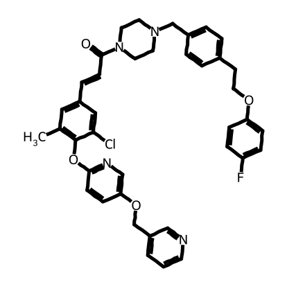 Cc1cc(C=CC(=O)N2CCN(Cc3ccc(CCOc4ccc(F)cc4)cc3)CC2)cc(Cl)c1Oc1ccc(OCc2cccnc2)cn1